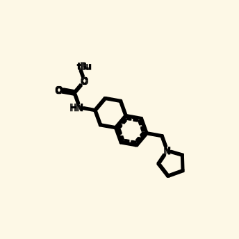 CC(C)(C)OC(=O)NC1CCc2cc(CN3CCCC3)ccc2C1